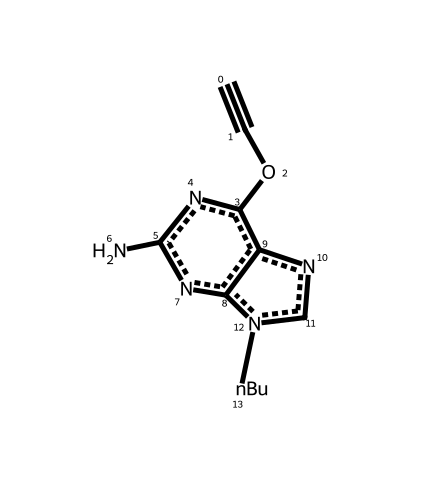 C#COc1nc(N)nc2c1ncn2CCCC